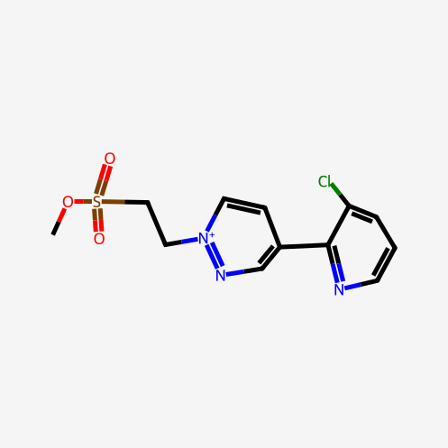 COS(=O)(=O)CC[n+]1ccc(-c2ncccc2Cl)cn1